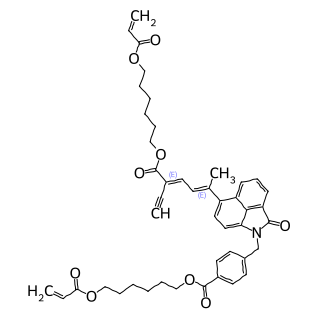 C#C/C(=C\C=C(/C)c1ccc2c3c(cccc13)C(=O)N2Cc1ccc(C(=O)OCCCCCCOC(=O)C=C)cc1)C(=O)OCCCCCCOC(=O)C=C